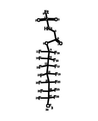 CCS(=O)(=O)NCC(=O)OC(F)(F)C(F)(F)C(F)(F)C(F)(F)C(F)(F)C(F)(F)C(F)(F)C(F)(F)F